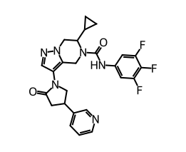 O=C1CC(c2cccnc2)CN1c1cnn2c1CN(C(=O)Nc1cc(F)c(F)c(F)c1)C(C1CC1)C2